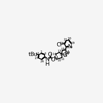 CC(C)(C)c1ccc(NC(=O)ON2CCC3(CC2)CC(c2ncccc2Cl)=NO3)cc1